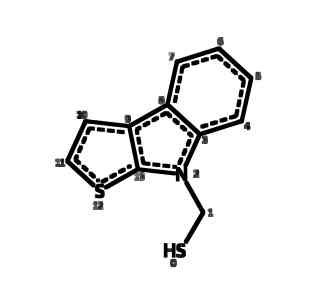 SCn1c2ccccc2c2ccsc21